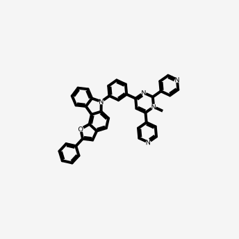 CN1C(c2ccncc2)=CC(c2cccc(-n3c4ccccc4c4c5oc(-c6ccccc6)cc5ccc43)c2)=NC1c1ccncc1